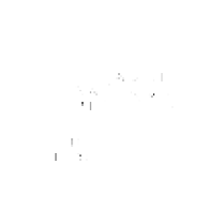 CCCCC(=O)N1CCC(CNC(=O)N2CCC(Nc3ccc([N+](=O)[O-])c(C(F)(F)F)c3)CC2)CC1